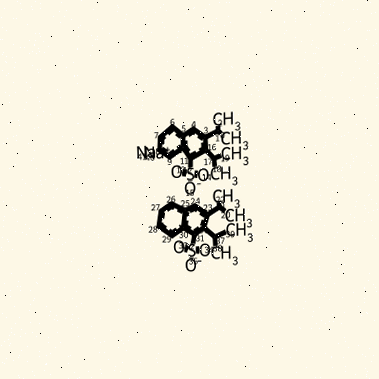 CC(C)c1cc2ccccc2c(S(=O)(=O)[O-])c1C(C)C.CC(C)c1cc2ccccc2c(S(=O)(=O)[O-])c1C(C)C.[Na+].[Na+]